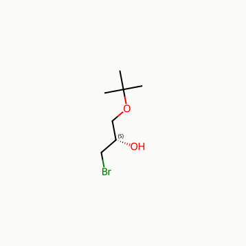 CC(C)(C)OC[C@H](O)CBr